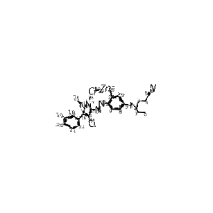 CCN(CCC#N)c1ccc(N=Nc2c(Cl)c(-c3ccccc3)n(C)[n+]2C)c(C)c1.[Cl][Zn-]